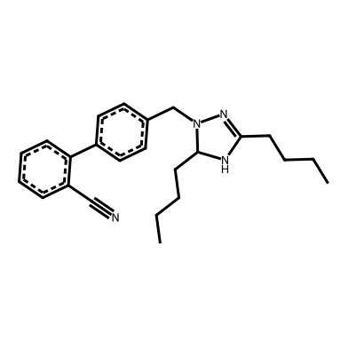 CCCCC1=NN(Cc2ccc(-c3ccccc3C#N)cc2)C(CCCC)N1